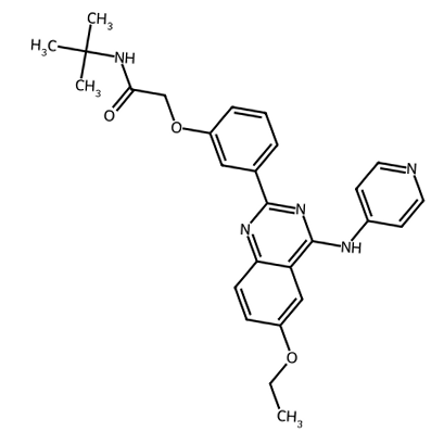 CCOc1ccc2nc(-c3cccc(OCC(=O)NC(C)(C)C)c3)nc(Nc3ccncc3)c2c1